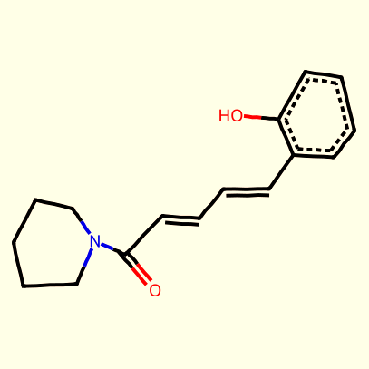 O=C(C=CC=Cc1ccccc1O)N1CCCCC1